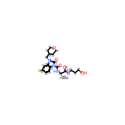 CC(C)(C)[C@H](NC(=O)n1c(=O)n(CC2CCOCC2)c2cc(F)ccc21)C(=O)NCCCO